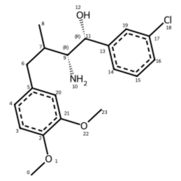 COc1ccc(CC(C)[C@@H](N)[C@H](O)c2cccc(Cl)c2)cc1OC